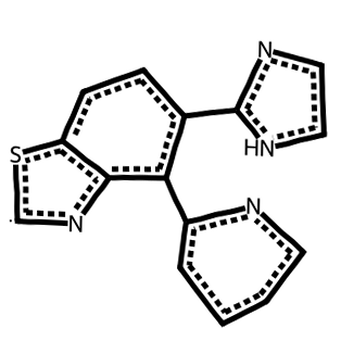 [c]1nc2c(-c3ccccn3)c(-c3ncc[nH]3)ccc2s1